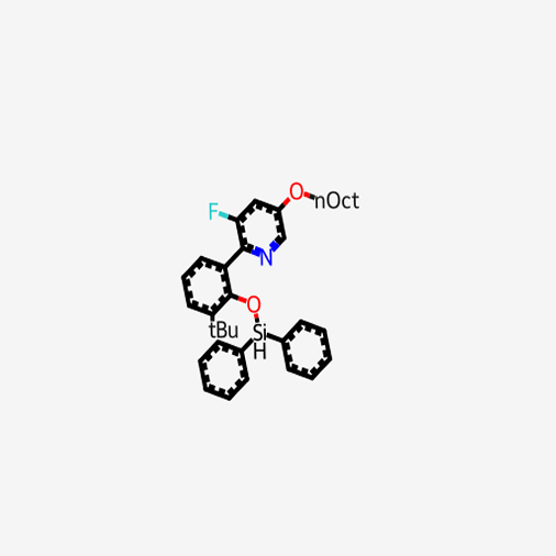 CCCCCCCCOc1cnc(-c2cccc(C(C)(C)C)c2O[SiH](c2ccccc2)c2ccccc2)c(F)c1